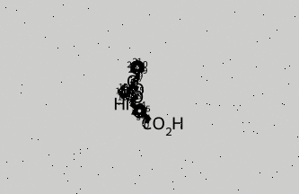 O=C(O)Cc1ccc(NC(=O)[C@@H]2CCCN2C(=O)OCc2ccccc2)cc1